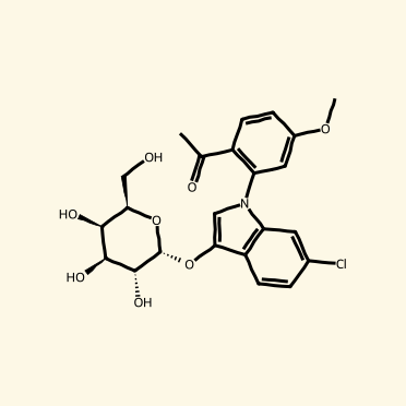 COc1ccc(C(C)=O)c(-n2cc(O[C@H]3O[C@H](CO)[C@H](O)[C@H](O)[C@H]3O)c3ccc(Cl)cc32)c1